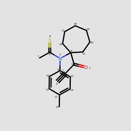 C#CC(=O)C1(N(C(C)=S)c2ccc(C)cc2)CCCCCC1